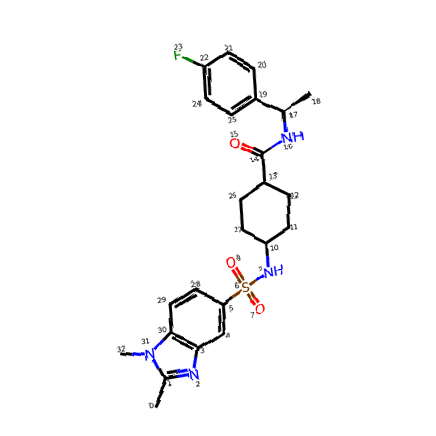 Cc1nc2cc(S(=O)(=O)NC3CCC(C(=O)N[C@H](C)c4ccc(F)cc4)CC3)ccc2n1C